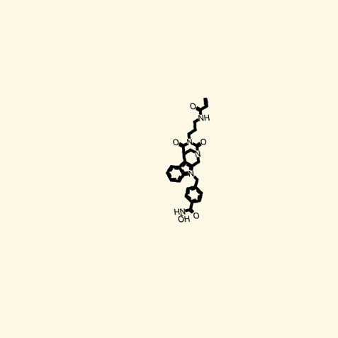 C=CC(=O)NCCCN1C(=O)C2CN(Cc3c2c2ccccc2n3Cc2ccc(C(=O)NO)cc2)C1=O